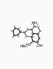 Br.NC1CCc2cc(O)c(O)c3c2C1CC(c1ccccc1)C3